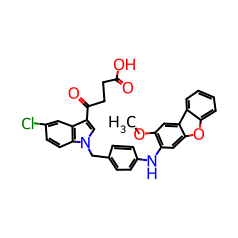 COc1cc2c(cc1Nc1ccc(Cn3cc(C(=O)CCC(=O)O)c4cc(Cl)ccc43)cc1)oc1ccccc12